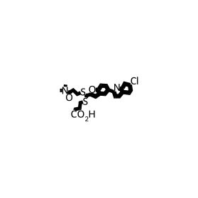 CN(C)C(=O)CCSC(SCCCC(=O)O)c1cc2cc(-c3ccc4ccc(Cl)cc4n3)ccc2o1